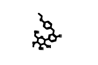 CCOc1ccc(Cc2cc(C3OC(CO)C(OC)C(O)C3O)ccc2Cl)cc1